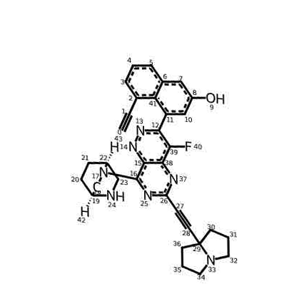 C#Cc1cccc2cc(O)cc(-c3nnc4c(N5C[C@@H]6CC[C@H]5CN6)nc(C#CC56CCCN5CCC6)nc4c3F)c12